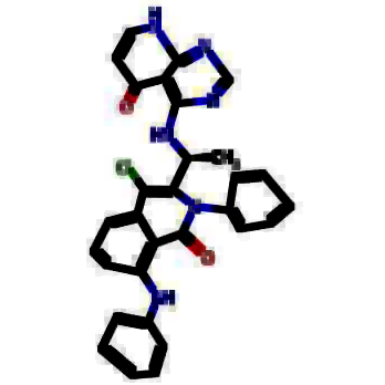 C[C@H](Nc1ncnc2[nH]ccc(=O)c12)c1c(Cl)c2cccc(Nc3ccccc3)c2c(=O)n1-c1ccccc1